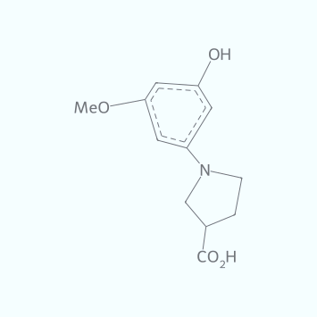 COc1cc(O)cc(N2CCC(C(=O)O)C2)c1